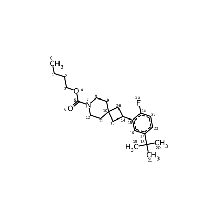 CCCCOC(=O)N1CCC2(CC1)CC(c1cc(C(C)(C)C)ccc1F)C2